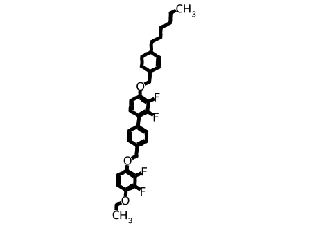 CCCCCCC1C=CC(COc2ccc(-c3ccc(COc4ccc(OCC)c(F)c4F)cc3)c(F)c2F)CC1